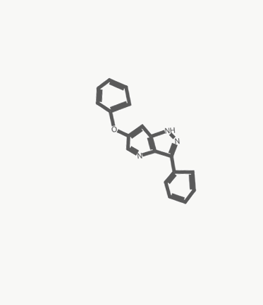 c1ccc(Oc2cnc3c(-c4ccccc4)n[nH]c3c2)cc1